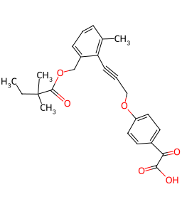 CCC(C)(C)C(=O)OCc1cccc(C)c1C#CCOc1ccc(C(=O)C(=O)O)cc1